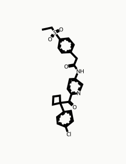 CCS(=O)(=O)c1ccc(CC(=O)Nc2ccc(C(=O)C3(c4ccc(Cl)cc4)CCC3)nc2)cc1